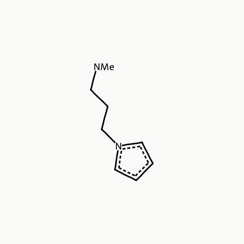 CNCCCn1cccc1